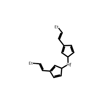 CCC=CC1=C[CH]([Hf][CH]2C=CC(C=CCC)=C2)C=C1